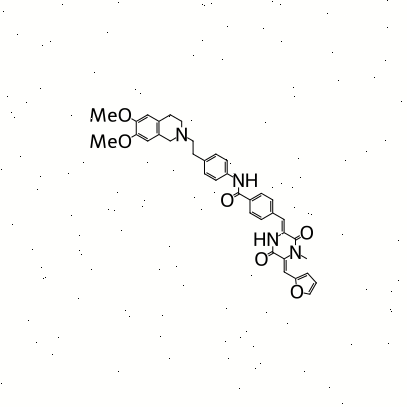 COc1cc2c(cc1OC)CN(CCc1ccc(NC(=O)c3ccc(/C=c4\[nH]c(=O)/c(=C/c5ccco5)n(C)c4=O)cc3)cc1)CC2